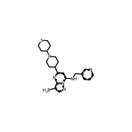 Bc1cnn2c(NCc3cccnc3)cc(C3CCN(C4CCSCC4)CC3)nc12